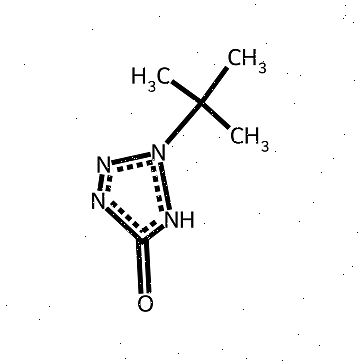 CC(C)(C)n1nnc(=O)[nH]1